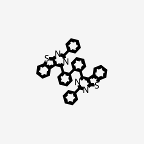 c1ccc(-c2nc(-c3ccccc3-c3ccccc3-c3nc(-c4ccccc4)nc4sc5ccccc5c34)c3c(n2)sc2ccccc23)cc1